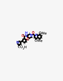 COc1cc(C(=O)N2CCC3(CC2)NC(=O)c2cc(-c4cncc(C(=O)O)c4)ccc2O3)nc2c(OC)cccc12